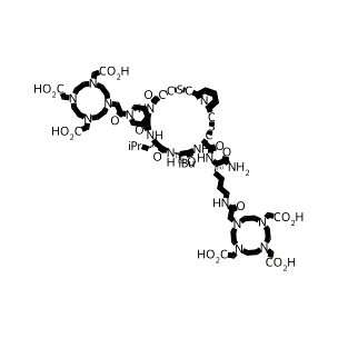 CC[C@H](C)[C@@H]1NC(=O)[C@H](CC(C)C)NC(=O)C2(CCN(C(=O)CN3CCN(CC(=O)O)CCN(CC(=O)O)CCN(CC(=O)O)CC3)CC2)NC(=O)CCSCc2cccc(n2)CSCC(C(=O)N[C@@H](CCCCNC(=O)CN2CCN(CC(=O)O)CCN(CC(=O)O)CCN(CC(=O)O)CC2)C(N)=O)NC1=O